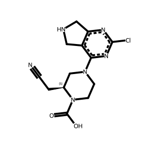 N#CC[C@H]1CN(c2nc(Cl)nc3c2CNC3)CCN1C(=O)O